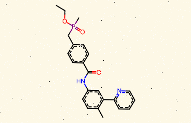 CCOP(C)(=O)Cc1ccc(C(=O)Nc2ccc(C)c(-c3ccccn3)c2)cc1